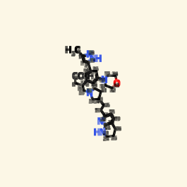 Cc1cc(-c2cc([C@H](CC(=O)O)CN3CC[C@@H](CCc4ccc5c(n4)NCCC5)C3)cc(N3CCOCC3)c2)[nH]n1